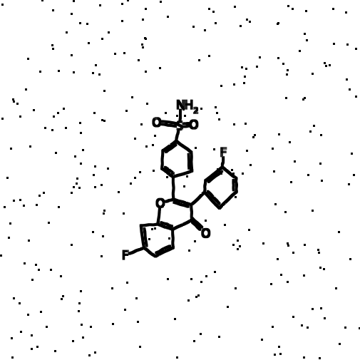 NS(=O)(=O)c1ccc(-c2oc3cc(F)ccc3c(=O)c2-c2cccc(F)c2)cc1